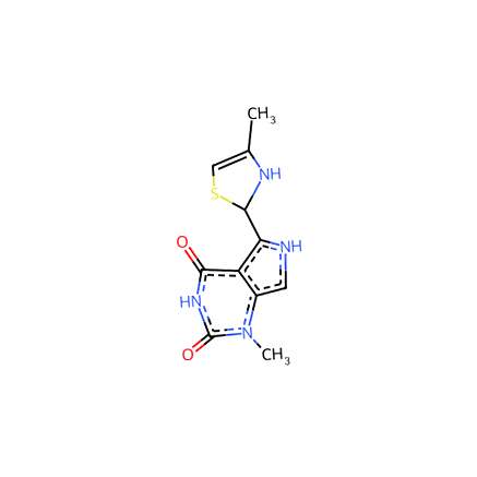 CC1=CSC(c2[nH]cc3c2c(=O)[nH]c(=O)n3C)N1